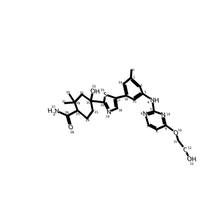 Cc1cc(Nc2nccc(OCCO)n2)cc(-c2cnc(C3(O)CCC(C(N)=O)C(C)(C)C3)s2)c1